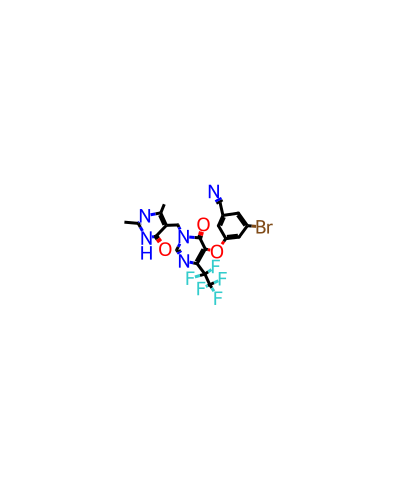 Cc1nc(C)c(Cn2cnc(C(F)(F)C(F)(F)F)c(Oc3cc(Br)cc(C#N)c3)c2=O)c(=O)[nH]1